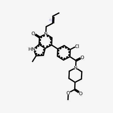 C/C=C/Cn1cc(-c2ccc(C(=O)N3CCC(C(=O)OC)CC3)c(Cl)c2)c2cc(C)[nH]c2c1=O